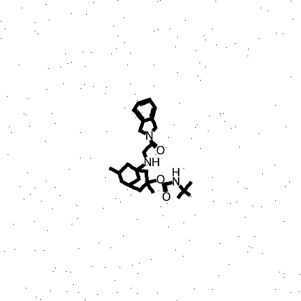 CC1CC2CC(NCC(=O)N3Cc4ccccc4C3)(C1)CC(C)(OC(=O)NC(C)(C)C)C2